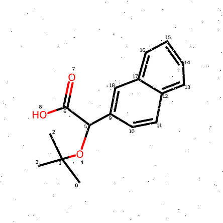 CC(C)(C)OC(C(=O)O)c1ccc2ccccc2c1